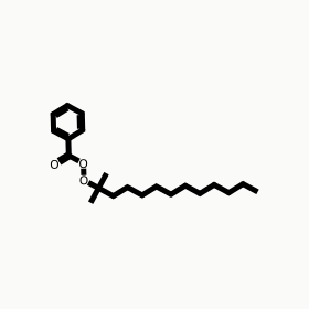 CCCCCCCCCCCC(C)(C)OOC(=O)c1ccccc1